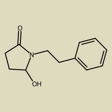 O=C1CCC(O)N1CCc1ccccc1